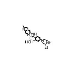 CC[C@@H]1CN(c2ccc(C(=O)Nc3cn4cc(C)nc4cn3)c(F)c2)CCN1.Cl